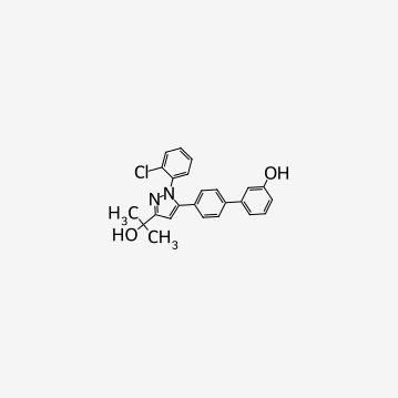 CC(C)(O)c1cc(-c2ccc(-c3cccc(O)c3)cc2)n(-c2ccccc2Cl)n1